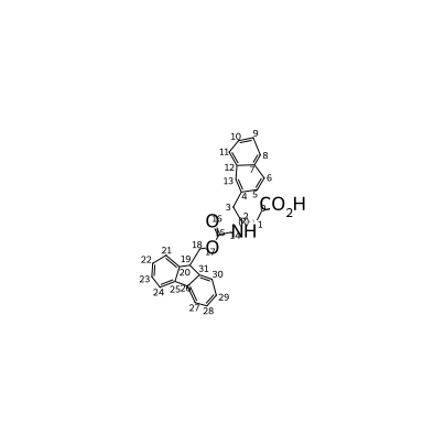 O=C(O)C[C@@H](Cc1ccc2ccccc2c1)NC(=O)OCC1c2ccccc2-c2ccccc21